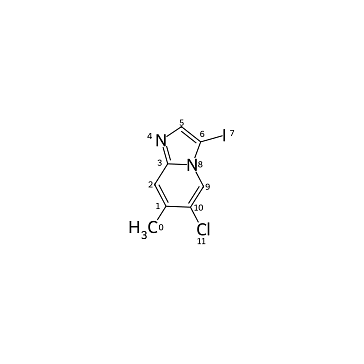 Cc1cc2ncc(I)n2cc1Cl